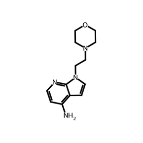 Nc1ccnc2c1ccn2CCN1CCOCC1